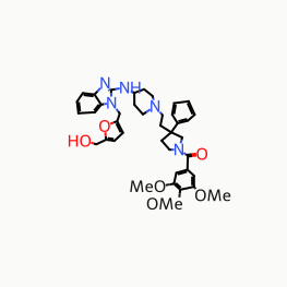 COc1cc(C(=O)N2CCC(CCN3CCC(Nc4nc5ccccc5n4Cc4ccc(CO)o4)CC3)(c3ccccc3)C2)cc(OC)c1OC